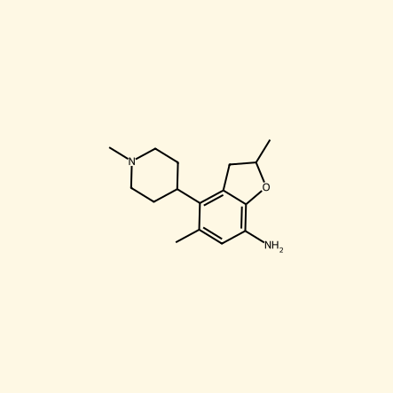 Cc1cc(N)c2c(c1C1CCN(C)CC1)CC(C)O2